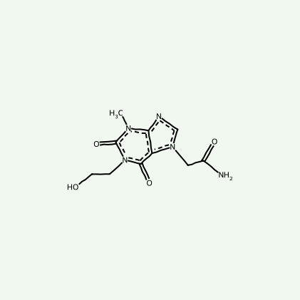 Cn1c(=O)n(CCO)c(=O)c2c1ncn2CC(N)=O